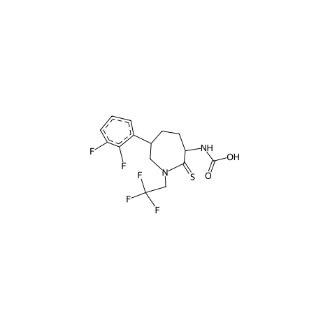 O=C(O)NC1CCC(c2cccc(F)c2F)CN(CC(F)(F)F)C1=S